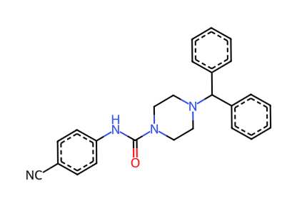 N#Cc1ccc(NC(=O)N2CCN(C(c3ccccc3)c3ccccc3)CC2)cc1